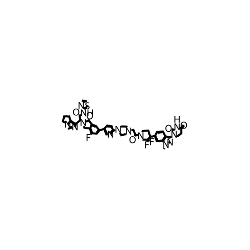 Cn1nc(N2CCC(=O)NC2=O)c2ccc(C3CCN(C(=O)CN4CCN(c5ccc(-c6cc(F)c7c(c6)C(=O)N(C(C(=O)Nc6nccs6)c6ncn8c6CCC8)C7)cn5)CC4)CC3(F)F)cc21